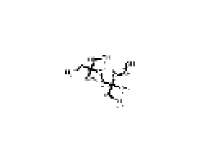 CCC(C)(BO)OBC(C)(CC)OBO